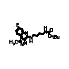 Cc1nnc2c(NCCCCNC(=O)OC(C)(C)C)nc3cc(F)ccc3n12